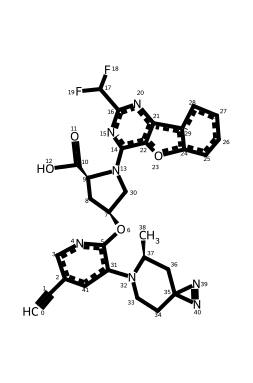 C#Cc1cnc(O[C@H]2C[C@@H](C(=O)O)N(c3nc(C(F)F)nc4c3oc3ccccc34)C2)c(N2CCC3(C[C@@H]2C)N=N3)c1